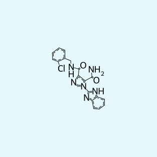 NC(=O)c1c(C(=O)NCc2ccccc2Cl)ncn1-c1nc2ccccc2[nH]1